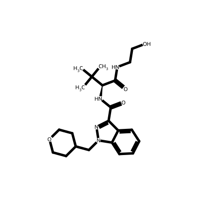 CC(C)(C)[C@H](NC(=O)c1nn(CC2CCOCC2)c2ccccc12)C(=O)NCCO